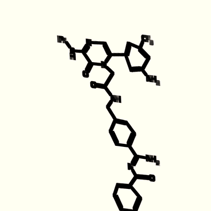 CC(C)Bc1ncc(-c2cc(N)cc(C(F)(F)F)c2)n(CC(=O)NCc2ccc(/C(N)=N/C(=O)c3ccccc3)cc2)c1=O